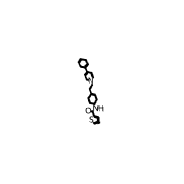 O=C(NC1CCC(CCN2C=CC(C3=CCC=CC3)=CC2)CC1)c1cccs1